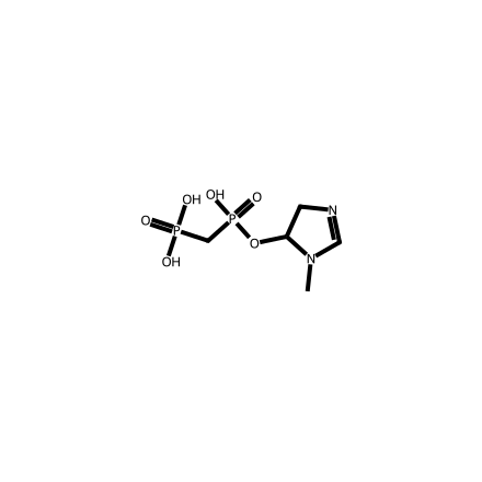 CN1C=NCC1OP(=O)(O)CP(=O)(O)O